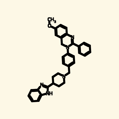 COc1ccc2c(c1)CN(c1ccc(CN3CCC(c4nc5ccccc5[nH]4)CC3)cc1)C(c1ccccc1)=N2